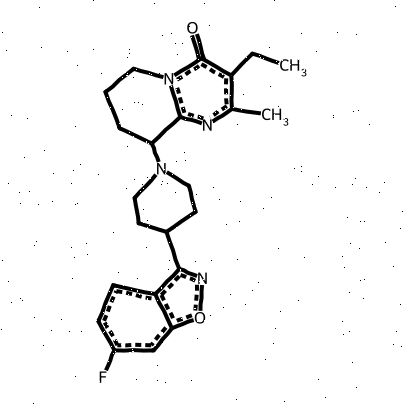 CCc1c(C)nc2n(c1=O)CCCC2N1CCC(c2noc3cc(F)ccc23)CC1